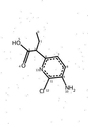 CCC(C(=O)O)c1ccc(N)c(Cl)n1